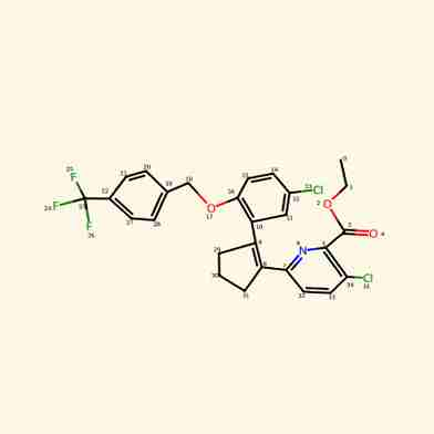 CCOC(=O)c1nc(C2=C(c3cc(Cl)ccc3OCc3ccc(C(F)(F)F)cc3)CCC2)ccc1Cl